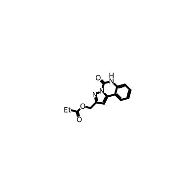 CCC(=O)OCc1cc2c3ccccc3[nH]c(=O)n2n1